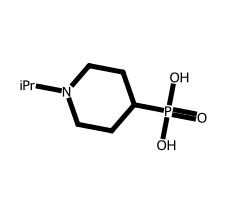 CC(C)N1CCC(P(=O)(O)O)CC1